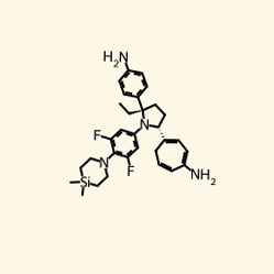 CC[C@@]1(c2ccc(N)cc2)CC[C@H](C2=CC=C(N)C=CC2)N1c1cc(F)c(N2CC[Si](C)(C)CC2)c(F)c1